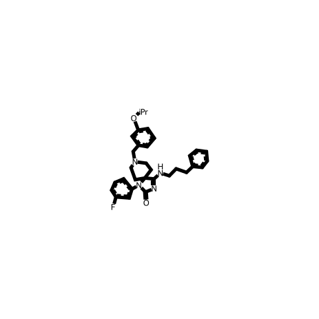 CC(C)Oc1cccc(CN2CCC3(CC2)C(NCCCc2ccccc2)=NC(=O)N3c2cccc(F)c2)c1